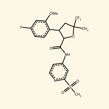 COc1cc(F)ccc1C1CC(C)(C(F)(F)F)OC1C(=O)Nc1ccnc(S(C)(=O)=O)c1